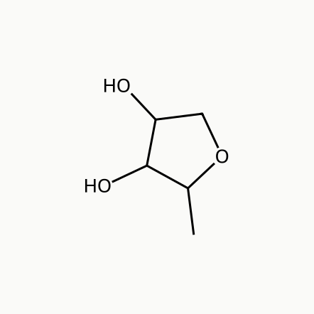 CC1OCC(O)C1O